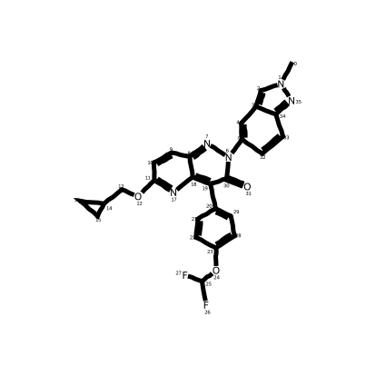 Cn1cc2cc(-n3nc4ccc(OCC5CC5)nc4c(-c4ccc(OC(F)F)cc4)c3=O)ccc2n1